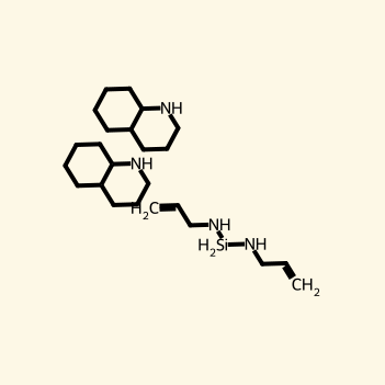 C1CCC2NCCCC2C1.C1CCC2NCCCC2C1.C=CCN[SiH2]NCC=C